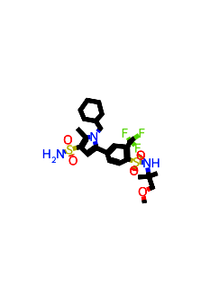 COCC(C)(C)NS(=O)(=O)c1ccc(-c2cc(S(N)(=O)=O)c(C)n2CC2CCCCC2)cc1C(F)(F)F